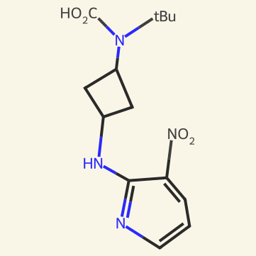 CC(C)(C)N(C(=O)O)C1CC(Nc2ncccc2[N+](=O)[O-])C1